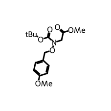 COC(=O)CN(OCc1ccc(OC)cc1)C(=O)OC(C)(C)C